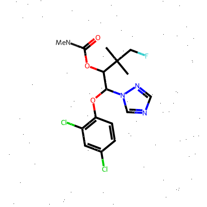 CNC(=O)OC(C(Oc1ccc(Cl)cc1Cl)n1cncn1)C(C)(C)CF